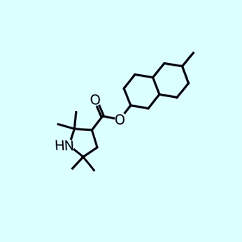 CC1CCC2CC(OC(=O)C3CC(C)(C)NC3(C)C)CCC2C1